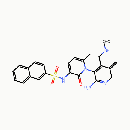 C=C1CN=C(N)C(n2c(C)ccc(NS(=O)(=O)c3ccc4ccccc4c3)c2=O)=C1CNC=O